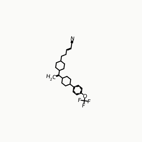 C=C(C1CCC(CCC=CC#N)CC1)C1CCC(c2ccc(OC(F)(F)F)cc2)CC1